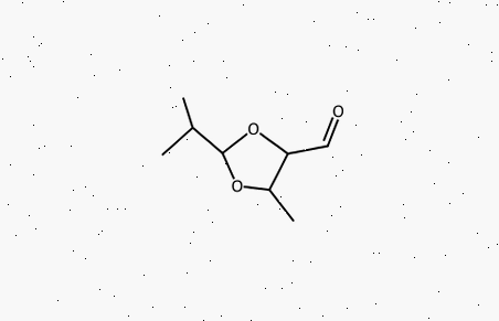 CC(C)C1OC(C)C(C=O)O1